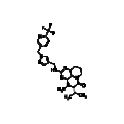 CC(C)[C@H]1C(=O)N2CCCc3nc(NCc4cnn(Cc5ccc(C(F)(F)F)nc5)c4)nc(c32)N1C